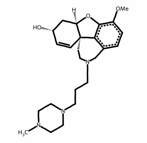 COc1ccc2c3c1O[C@@H]1C[C@@H](O)C=C[C@]31CCN(CCCN1CCN(C)CC1)C2